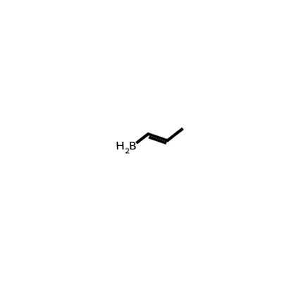 BC=CC